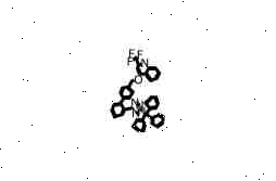 FC(F)(F)c1cc(OCc2ccc(-c3ccccc3-c3nnn(C(c4ccccc4)(c4ccccc4)c4ccccc4)n3)cc2)c2ccccc2n1